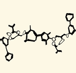 C=C(C)C(=O)OC(COc1cccc(-c2ccccc2)c1)COc1c(C)cc(-c2cc(C)c(OCC(COc3cccc(-c4ccccc4)c3)OC(=O)C(=C)C)c(C)c2)cc1C